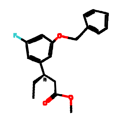 CC[C@H](CC(=O)OC)c1cc(F)cc(OCc2ccccc2)c1